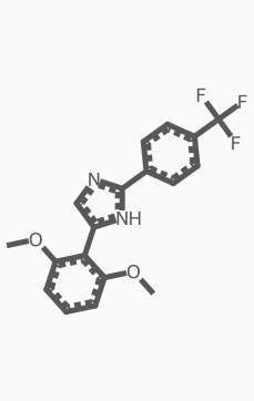 COc1cccc(OC)c1-c1cnc(-c2ccc(C(F)(F)F)cc2)[nH]1